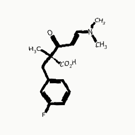 CN(C)/C=C/C(=O)[C@@](C)(Cc1cccc(F)c1)C(=O)O